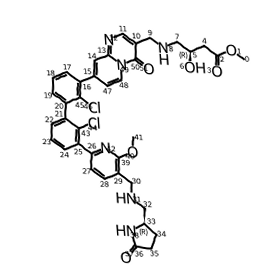 COC(=O)C[C@@H](O)CNCc1cnc2cc(-c3cccc(-c4cccc(-c5ccc(CNC[C@H]6CCC(=O)N6)c(OC)n5)c4Cl)c3Cl)ccn2c1=O